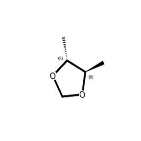 C[C@H]1OCO[C@@H]1C